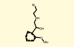 CCCCOc1ccccc1C(O)CNCCBr